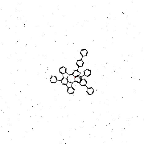 c1ccc(-c2ccc(-c3nc(-c4ccc(-c5ccccc5)cc4)nc(-n4c5ccccc5c5c(-c6ccccc6)cc6c7ccccc7n(-c7ccc(-c8ccccc8)cc7)c6c54)n3)cc2)cc1